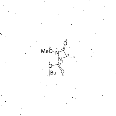 CON1C(=O)[C@H](C)N1C(=O)OC(C)(C)C